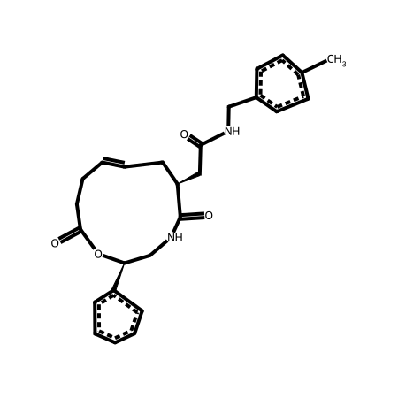 Cc1ccc(CNC(=O)C[C@@H]2C/C=C/CCC(=O)O[C@H](c3ccccc3)CNC2=O)cc1